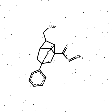 C=NC(=S)C12CC3CC(c4ccccc4)(CC1C3CSC)C2